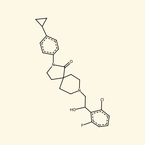 O=C1N(c2ccc(C3CC3)cc2)CCC12CCN(CC(O)c1c(F)cccc1Cl)CC2